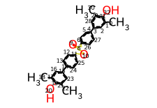 Cc1cc(-c2ccc(S(=O)(=O)c3ccc(-c4cc(C)c(O)c(C)c4)cc3)cc2)cc(C)c1O